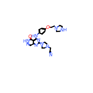 N#CCN1CCN(c2nc(Nc3ccc(OCCN4CCNCC4)cc3)c3c(=O)[nH]ncc3n2)CC1